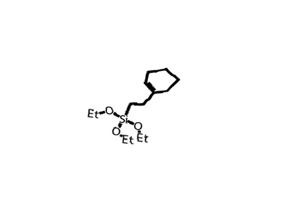 CCO[Si](CCC1=CCCCC1)(OCC)OCC